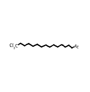 CC(=O)CCCCCCCCCCCCCCC(Cl)(Cl)Cl